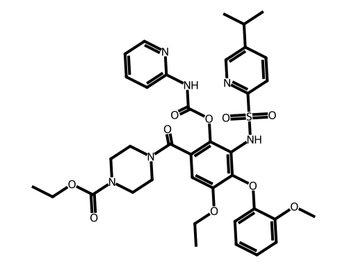 CCOC(=O)N1CCN(C(=O)c2cc(OCC)c(Oc3ccccc3OC)c(NS(=O)(=O)c3ccc(C(C)C)cn3)c2OC(=O)Nc2ccccn2)CC1